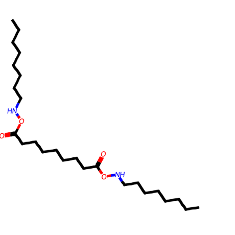 CCCCCCCCNOC(=O)CCCCCCCC(=O)ONCCCCCCCC